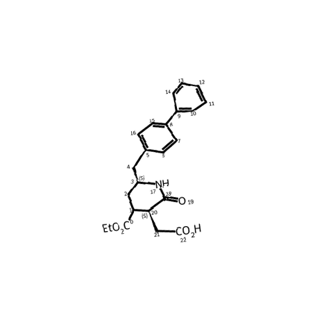 CCOC(=O)C1C[C@@H](Cc2ccc(-c3ccccc3)cc2)NC(=O)[C@H]1CC(=O)O